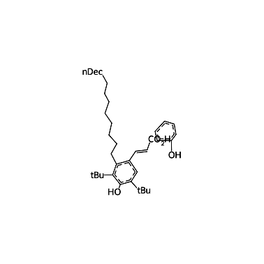 CCCCCCCCCCCCCCCCCCc1c(C=CC(=O)O)cc(C(C)(C)C)c(O)c1C(C)(C)C.Oc1ccccc1